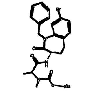 CC(C(=O)N[C@H]1CCc2ccc(Br)cc2N(Cc2ccccc2)C1=O)N(C)C(=O)OC(C)(C)C